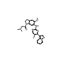 COc1cc2c(cc1Nc1ncc(F)c(-c3cnn4ccccc34)n1)N(C(=O)CN(C)C)CC2